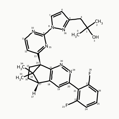 CC(C)(O)Cc1ccn(-c2nccc([C@@]34CC[C@@H](c5cc(-c6c(F)cccc6F)nnc53)C4(C)C)n2)n1